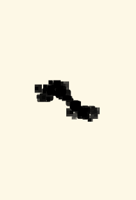 CC(C)(C)OC(=O)C(N)(Cc1ccc(OCC2CN(CCCC(C(=N)N)(C(=O)OC(C)(C)C)N3CCNCC3)C(=O)O2)cc1)C(=O)O